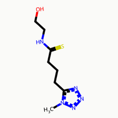 Cn1nnnc1CCCC(=S)NCCO